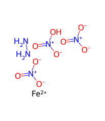 NN.O=[N+]([O-])O.O=[N+]([O-])[O-].O=[N+]([O-])[O-].[Fe+2]